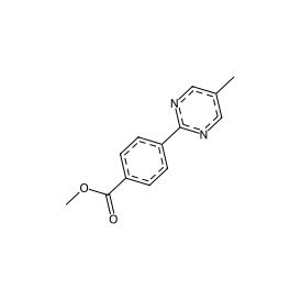 COC(=O)c1ccc(-c2ncc(C)cn2)cc1